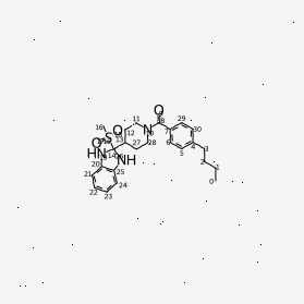 CCCCc1ccc(C(=O)N2CCC(C3(S(C)(=O)=O)Nc4ccccc4N3)CC2)cc1